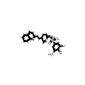 Cc1cc(S(=O)(=O)Nc2ccc(CCc3ccc4ccccc4n3)cn2)cc(Cl)c1Cl